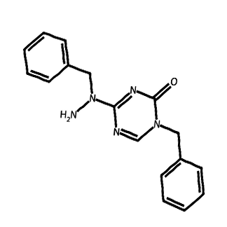 NN(Cc1ccccc1)c1ncn(Cc2ccccc2)c(=O)n1